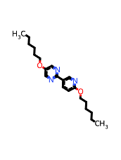 CCCCCCOc1cnc(-c2ccc(OCCCCCC)nc2)nc1